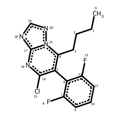 CCCCc1c(-c2c(F)cccc2F)c(Cl)nc2ncnn12